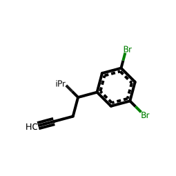 C#CCC(c1cc(Br)cc(Br)c1)C(C)C